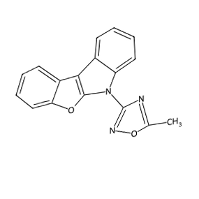 Cc1nc(-n2c3ccccc3c3c4ccccc4oc32)no1